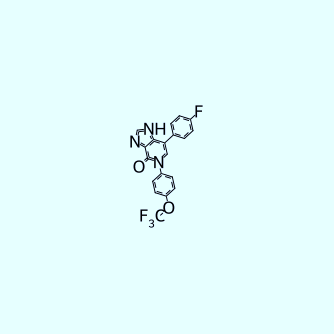 O=c1c2nc[nH]c2c(-c2ccc(F)cc2)cn1-c1ccc(OC(F)(F)F)cc1